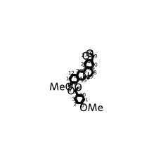 COc1ccc(C(=O)Oc2c(OC)ccc3c2CN2CCc4cc5c(cc4C2C3)OOC5)cc1